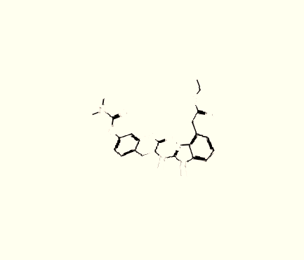 CCOC(=O)Cc1cccc2[nH]c(N[C@@H](Cc3ccc(OC(=O)N(C)C)cc3)C(=O)O)nc12